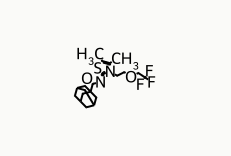 Cc1sc(=NC(=O)C23CC4CC(CC(C4)C2)C3)n(CCOCC(F)(F)F)c1C